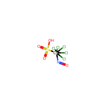 O=[N][Cr]([Cl])([Cl])([Cl])([Cl])([Cl])[S](=O)(=O)O